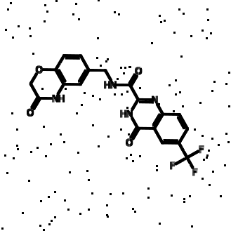 O=C1COc2ccc(CNC(=O)c3nc4ccc(C(F)(F)F)cc4c(=O)[nH]3)cc2N1